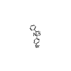 Brc1ccc(-c2nc(-c3ccccc3)cs2)cc1